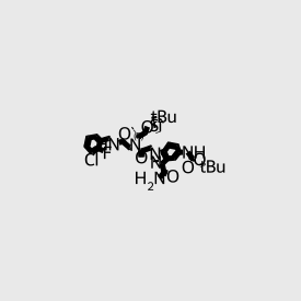 C[C@H](CO[Si](C)(C)C(C)(C)C)N(CC(=O)NCc1cccc(Cl)c1F)C(=O)Cn1nc(C(N)=O)c2cc(NC(=O)OC(C)(C)C)ccc21